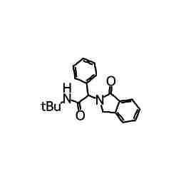 CC(C)(C)NC(=O)C(c1ccccc1)N1Cc2ccccc2C1=O